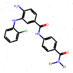 CCN(CC)C(=O)c1ccc(NC(=O)c2ccc(N)c(Nc3ccccc3Cl)c2)cc1